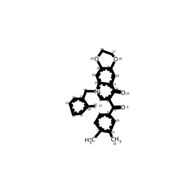 Cc1ccc(C(=O)c2cn(Cc3ccccc3F)c3cc4c(cc3c2=O)OCCO4)cc1C